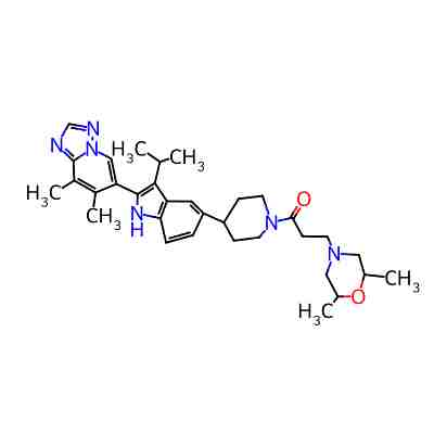 Cc1c(-c2[nH]c3ccc(C4CCN(C(=O)CCN5CC(C)OC(C)C5)CC4)cc3c2C(C)C)cn2ncnc2c1C